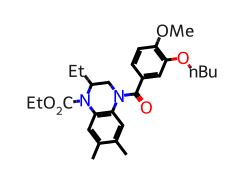 CCCCOc1cc(C(=O)N2CC(CC)N(C(=O)OCC)c3cc(C)c(C)cc32)ccc1OC